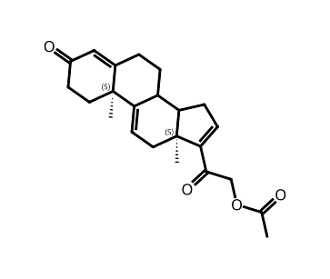 CC(=O)OCC(=O)C1=CCC2C3CCC4=CC(=O)CC[C@]4(C)C3=CC[C@]12C